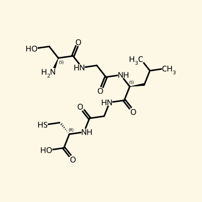 CC(C)C[C@H](NC(=O)CNC(=O)[C@@H](N)CO)C(=O)NCC(=O)N[C@@H](CS)C(=O)O